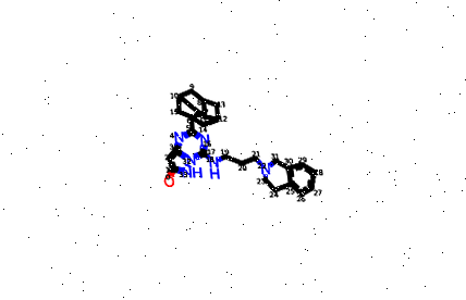 O=c1cc2nc(C34CC5CC(CC(C5)C3)C4)nc(NCCCN3CCc4ccccc4C3)n2[nH]1